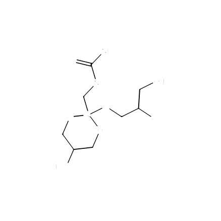 CC(CO)CO[Si]1(CNC(N)=O)OCC(C)CO1